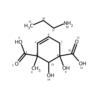 CC1(C(=O)O)C=CCC(O)(C(=O)O)C1O.CCCN